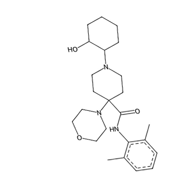 Cc1cccc(C)c1NC(=O)C1(N2CCOCC2)CCN(C2CCCCC2O)CC1